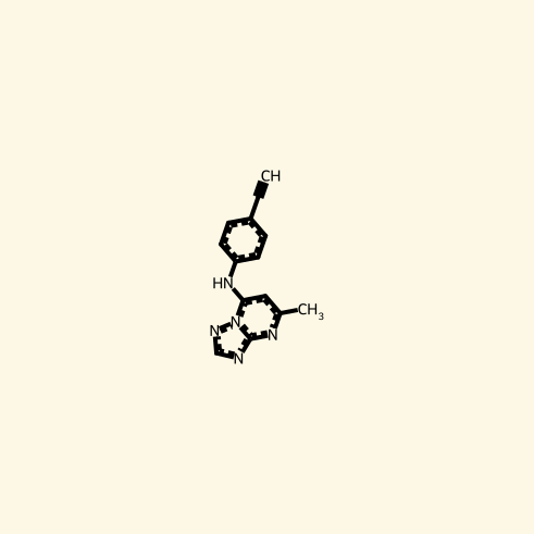 C#Cc1ccc(Nc2cc(C)nc3ncnn23)cc1